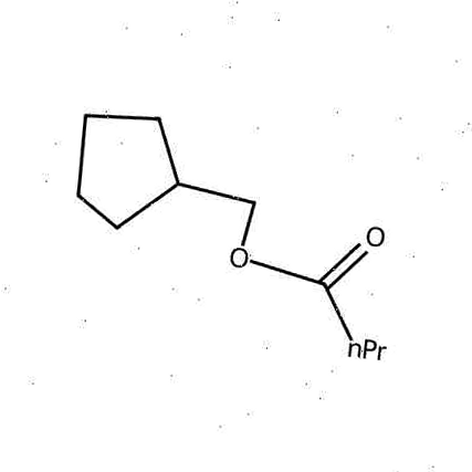 [CH2]CCC(=O)OCC1CCCC1